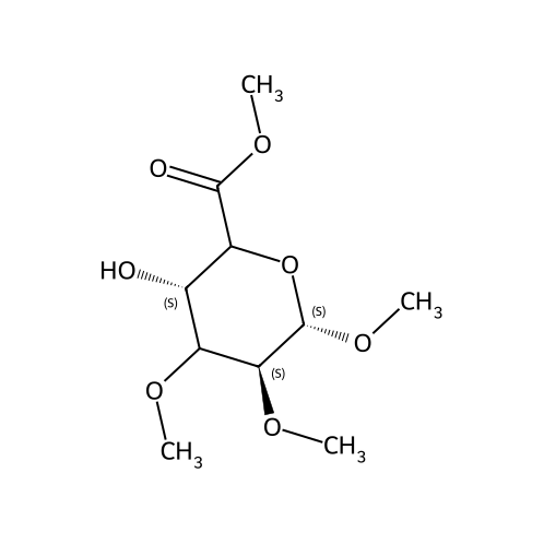 COC(=O)C1O[C@H](OC)[C@@H](OC)C(OC)[C@@H]1O